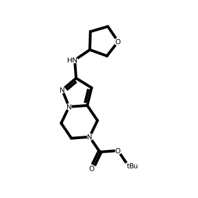 CC(C)(C)OC(=O)N1CCn2nc(NC3CCOC3)cc2C1